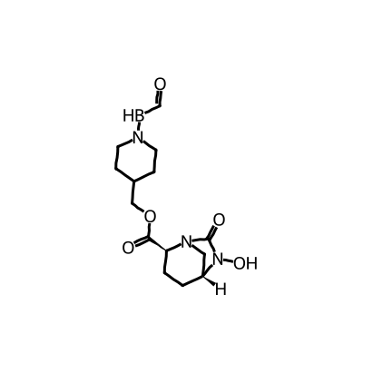 O=CBN1CCC(COC(=O)[C@@H]2CC[C@@H]3CN2C(=O)N3O)CC1